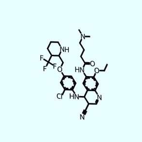 CCOc1cc2c(cc1NC(=O)CCCN(C)C)C(Nc1ccc(OCC3NCCCC3C(F)(F)F)cc1Cl)C(C#N)C=N2